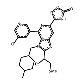 CCC(CSC)c1nc2cc(-c3noc(=O)[nH]3)nc(-c3cncc(Cl)c3)c2n1CC1CCC(C)CC1